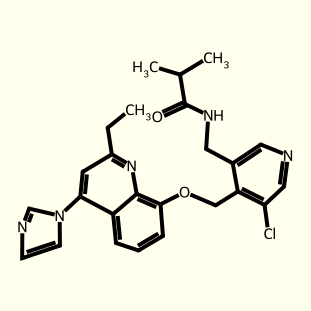 CCc1cc(-n2ccnc2)c2cccc(OCc3c(Cl)cncc3CNC(=O)C(C)C)c2n1